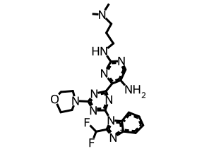 CN(C)CCCNc1ncc(N)c(-c2nc(N3CCOCC3)nc(-n3c(C(F)F)nc4ccccc43)n2)n1